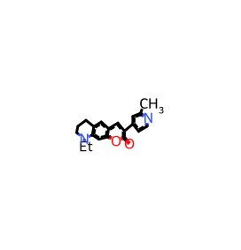 CCN1CCCc2cc3cc(-c4ccnc(C)c4)c(=O)oc3cc21